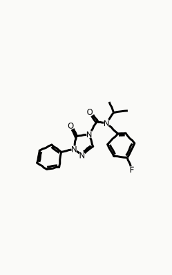 CC(C)N(C(=O)n1cnn(-c2ccccc2)c1=O)c1ccc(F)cc1